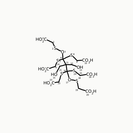 O=C(O)CSOC(SCC(=O)O)(SCC(=O)O)C(CO)(CO)C(OSCC(=O)O)(SCC(=O)O)SCC(=O)O